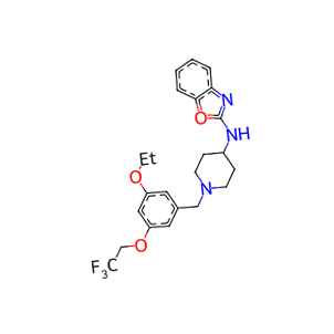 CCOc1cc(CN2CCC(Nc3nc4ccccc4o3)CC2)cc(OCC(F)(F)F)c1